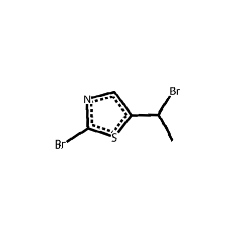 CC(Br)c1cnc(Br)s1